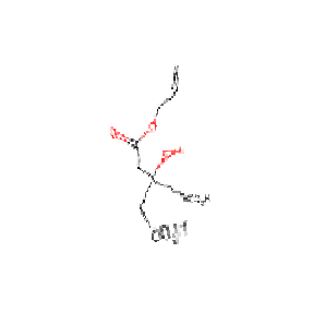 C=CCOC(=O)CC(O)(CC(=O)O)C(=O)O